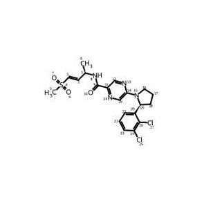 C[C@H](/C=C/S(C)(=O)=O)NC(=O)c1cnc(N2CCC[C@H]2c2cccc(Cl)c2Cl)cn1